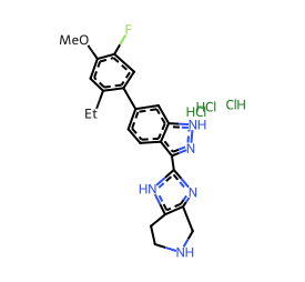 CCc1cc(OC)c(F)cc1-c1ccc2c(-c3nc4c([nH]3)CCNC4)n[nH]c2c1.Cl.Cl.Cl